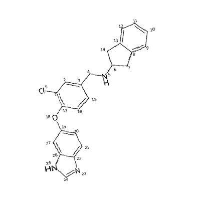 Clc1cc(CNC2Cc3ccccc3C2)ccc1Oc1ccc2nc[nH]c2c1